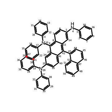 c1ccc(Nc2ccc3c(N(c4ccccc4)c4ccccc4)c4cc(N(c5ccccc5)c5ccccc5)ccc4c(-c4cccc5ccccc45)c3c2)cc1